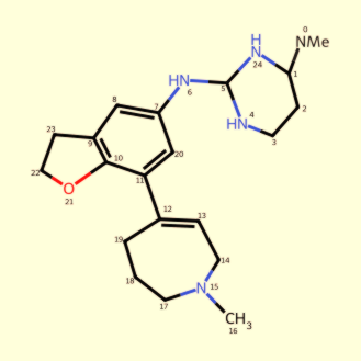 CNC1CCNC(Nc2cc3c(c(C4=CCN(C)CCC4)c2)OCC3)N1